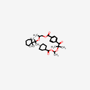 CC(COC(=O)c1ccc(C(=O)C(C)(C)OC(C)OC(=O)C2CCCCC2)cc1)OC(C)(C)C1(C=O)CCCCC1